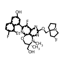 CCc1c(F)ccc2cc(O)cc(-c3nc4c5c(nc(OC[C@@]67CCCN6C[C@H](F)C7)nc5c3F)N(C)[C@@](C)(CO)CO4)c12